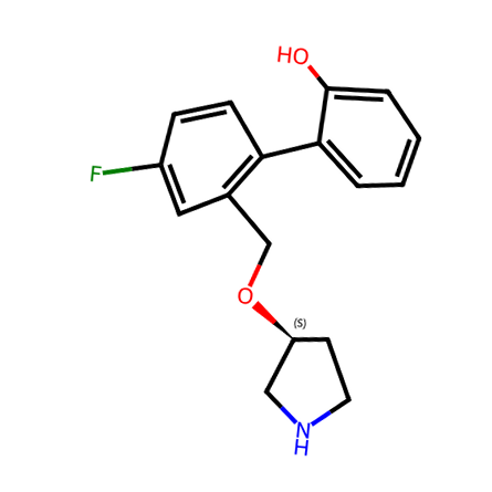 Oc1ccccc1-c1ccc(F)cc1CO[C@H]1CCNC1